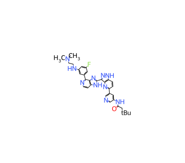 CN(C)CCNc1cc(F)cc(-c2nccc3[nH]c(-c4n[nH]c5ccc(-c6cncc(NC(=O)CC(C)(C)C)c6)nc45)nc23)c1